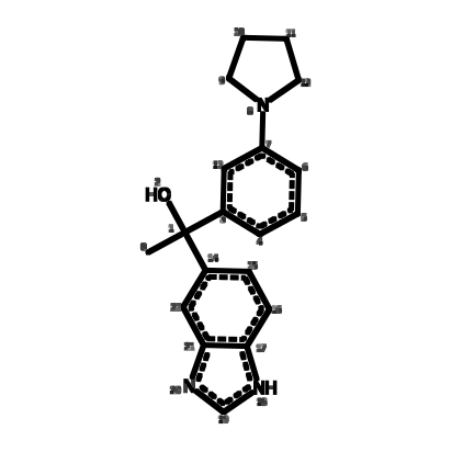 CC(O)(c1cccc(N2CCCC2)c1)c1ccc2[nH]cnc2c1